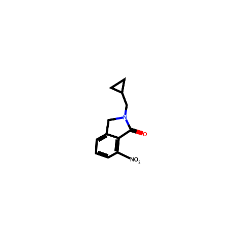 O=C1c2c(cccc2[N+](=O)[O-])CN1CC1CC1